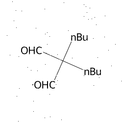 CCCCC([C]=O)(C=O)CCCC